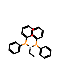 C[CH2][Pd]([P](c1ccccc1)c1ccccc1)[P](c1ccccc1)c1ccccc1